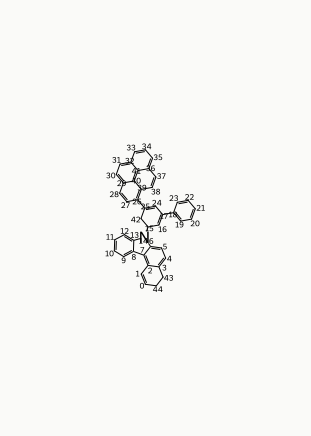 C1=Cc2c(ccc3c2c2ccccc2n3C2C=C(c3ccccc3)C=C(c3ccc4ccc5cccc6ccc3c4c56)C2)CC1